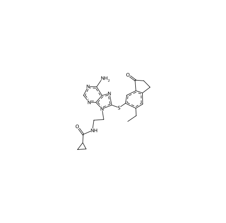 CCc1cc2c(cc1Sc1nc3c(N)ncnc3n1CCNC(=O)C1CC1)C(=O)CC2